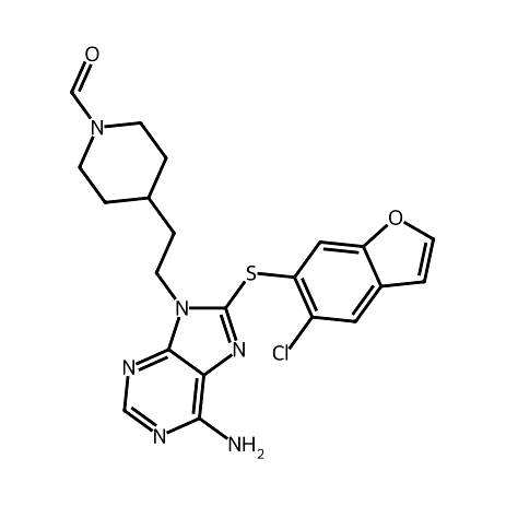 Nc1ncnc2c1nc(Sc1cc3occc3cc1Cl)n2CCC1CCN(C=O)CC1